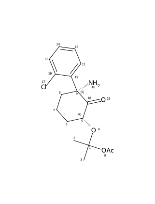 CC(=O)OC(C)(C)O[C@@H]1CCC[C@@](N)(c2ccccc2Cl)C1=O